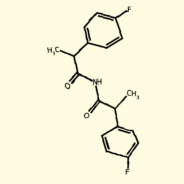 CC(C(=O)NC(=O)C(C)c1ccc(F)cc1)c1ccc(F)cc1